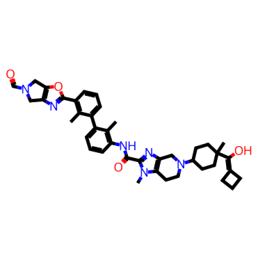 Cc1c(NC(=O)c2nc3c(n2C)CCN(C2CCC(C)(C(O)=C4CCC4)CC2)C3)cccc1-c1cccc(-c2nc3c(o2)CN(C=O)C3)c1C